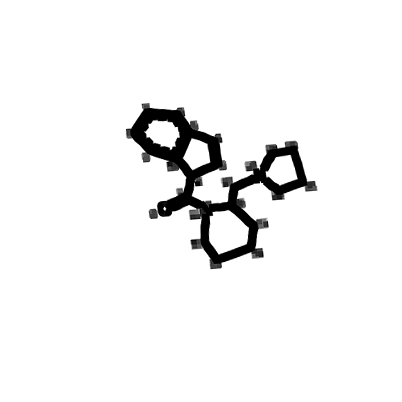 O=C(C1C=Cc2ccccc21)N1CCCCC1CN1CCCC1